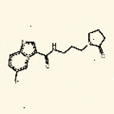 O=C(NCCCN1CCCC1=O)c1cnc2ccc(Br)cn12